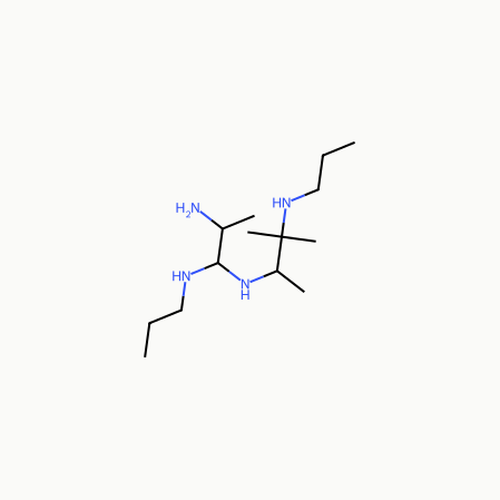 CCCNC(NC(C)C(C)(C)NCCC)C(C)N